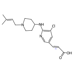 CC(C)=CCN1CCC(Nc2ncc(/C=C/C(=O)O)cc2Cl)CC1